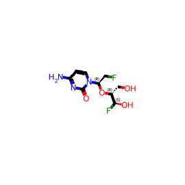 Nc1ccn([C@@H](CF)O[C@H](CO)[C@@H](O)F)c(=O)n1